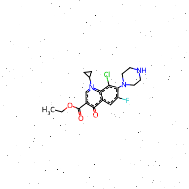 CCOC(=O)c1cn(C2CC2)c2c(Cl)c(N3CCNCC3)c(F)cc2c1=O